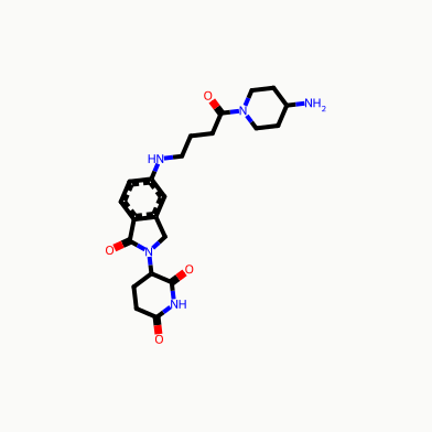 NC1CCN(C(=O)CCCNc2ccc3c(c2)CN(C2CCC(=O)NC2=O)C3=O)CC1